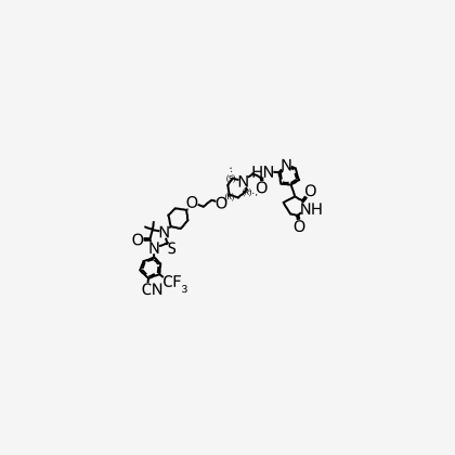 C[C@@H]1C[C@H](OCCO[C@H]2CC[C@H](N3C(=S)N(c4ccc(C#N)c(C(F)(F)F)c4)C(=O)C3(C)C)CC2)C[C@H](C)N1CC(=O)Nc1cc(C2CCC(=O)NC2=O)ccn1